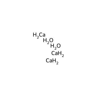 O.O.[CaH2].[CaH2].[CaH2]